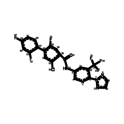 O=C(Nc1cnc(-n2nccn2)c(C(F)(F)F)c1)c1cc(F)c(-c2ccc(F)cc2F)cc1Cl